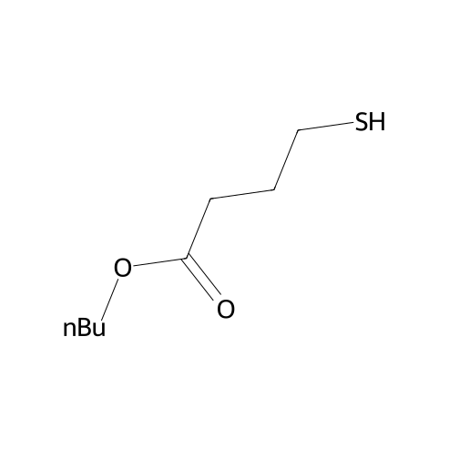 CCCCOC(=O)CCCS